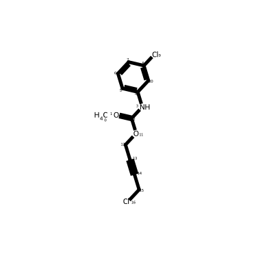 C.O=C(Nc1cccc(Cl)c1)OCC#CCCl